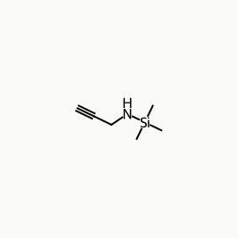 C#CCN[Si](C)(C)C